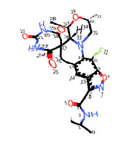 CC(C)NC(=O)c1noc2c(F)c3c(cc12)CC1(C(=O)NC(=O)NC1=O)[C@@H]1[C@@H](C)O[C@H](C)CN31